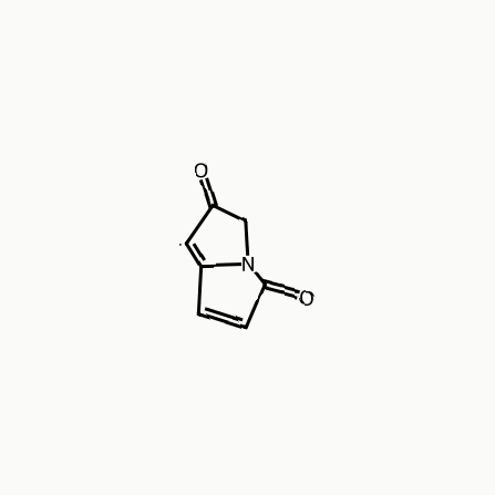 O=C1[C]=C2C=CC(=O)N2C1